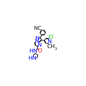 Cc1cc(-c2c(-c3cccc(C#N)c3)nn3ccc(C(=O)N[C@@H]4CCNC4)nc23)cc(Cl)n1